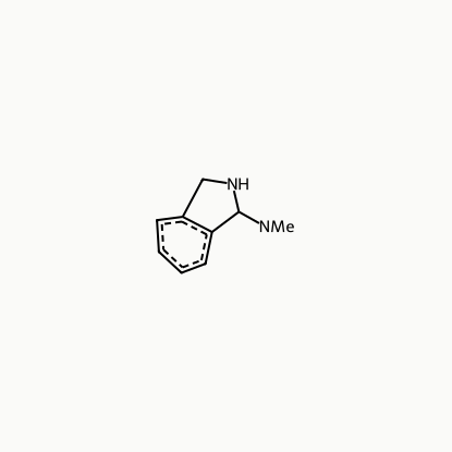 CNC1NCc2ccccc21